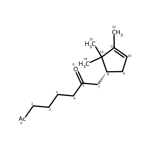 CC(=O)CCCCC(=O)C[C@H]1CC=C(C)C1(C)C